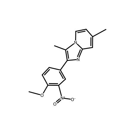 COc1ccc(-c2nc3cc(C)ccn3c2C)cc1[N+](=O)[O-]